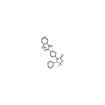 CC1(C)OC(=O)N(c2ccc(C(=O)Nc3cnccc3O)cc2)C1c1ccccc1